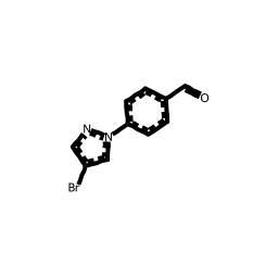 O=Cc1ccc(-n2cc(Br)cn2)cc1